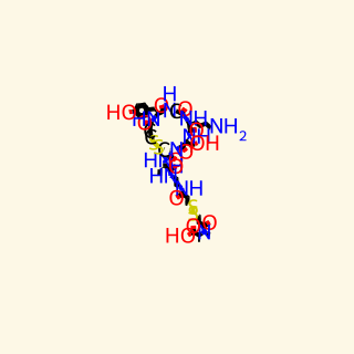 CC[C@H](NC(=O)[C@@H]1CSSCCC(=O)N[C@@H](Cc2ccc(O)cc2)C(=O)NCC(=O)N[C@@H](CCCCN)C(=O)N[C@@H]([C@@H](C)O)C(=O)N1)C(=O)NCCNC(=O)CCSSCCC(=O)N(C)[C@@H](C)C(=O)O